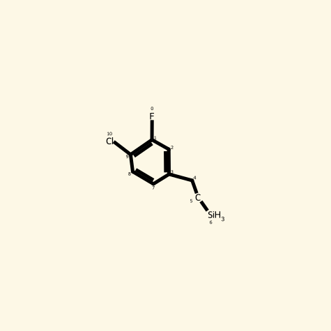 Fc1cc(CC[SiH3])ccc1Cl